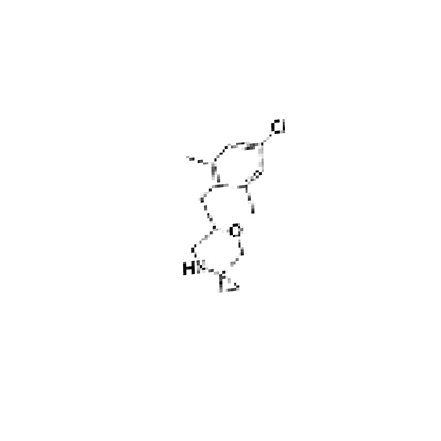 Cc1cc(Cl)cc(I)c1CC1CNC2(CC2)CO1